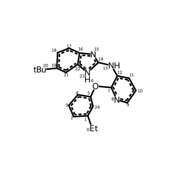 CCc1cccc(Oc2ncccc2Nc2nc3ccc(C(C)(C)C)cc3[nH]2)c1